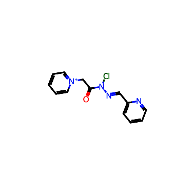 O=C(C[n+]1ccccc1)N(Cl)N=Cc1ccccn1